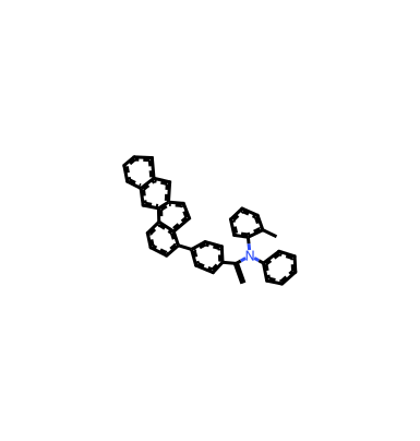 C=C(c1ccc(-c2cccc3c2ccc2cc4ccccc4cc23)cc1)N(c1ccccc1)c1ccccc1C